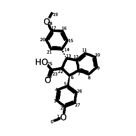 COc1ccc([C@@H]2c3ccccc3[C@@H](c3ccc(OC)cc3)C2C(=O)O)cc1